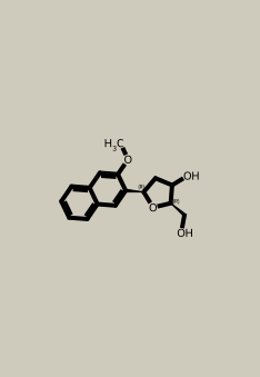 COc1cc2ccccc2cc1[C@H]1CC(O)[C@@H](CO)O1